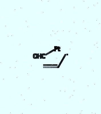 O=[CH][Pt].[CH2]C=C